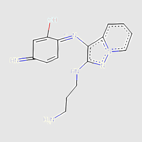 N=C1C=C/C(=N\c2c(NCCCN)nn3ccccc23)C(O)=C1